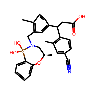 Cc1ccc(C(CC(=O)O)c2ccc(C#N)cc2C)cc1CN1C[C@@H](C)Oc2ccccc2S1(O)O